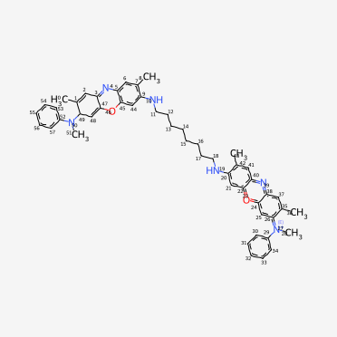 CC1=CC2=Nc3cc(C)c(NCCCCCCCCNc4cc5oc6c/c(=[N+](/C)c7ccccc7)c(C)cc-6nc5cc4C)cc3OC2=CC1N(C)c1ccccc1